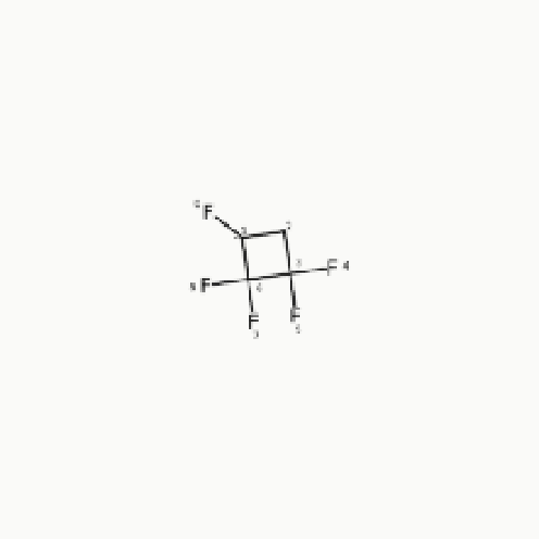 F[C]1CC(F)(F)C1(F)F